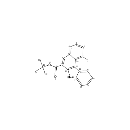 Cc1cccc2cc(C(=O)OC(C)(C)C)c3[nH]c4ccccc4c3c12